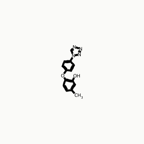 Cc1ccc(Oc2ccc(-n3cnnn3)cc2)c(O)c1